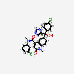 CN(C(=O)c1cc(=O)n(C)c2ccc(C(O)(c3ccc(Cl)cc3)c3cncn3C)cc12)c1cccc(Cl)c1